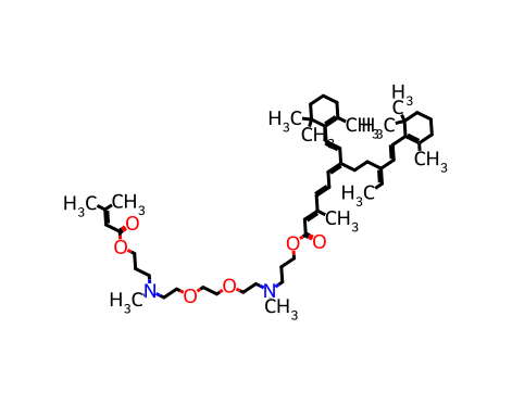 C/C=C(/C=C/C1=C(C)CCCC1(C)C)CCC(/C=C/C1=C(C)CCCC1(C)C)=C\C=C\C(C)=C\C(=O)OCCCN(C)CCOCCOCCN(C)CCCOC(=O)C=C(C)C